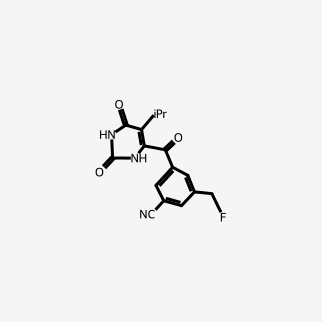 CC(C)c1c(C(=O)c2cc(C#N)cc(CF)c2)[nH]c(=O)[nH]c1=O